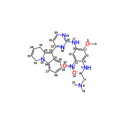 COc1cc(NCCN(C)C)c([N+](=O)[O-])cc1Nc1nccc(-c2c3n(c4ccccc24)CC=CC3)n1